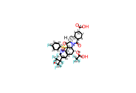 C[C@H]1C[C@H](C(=O)O)CC[C@H]1C(=O)N1CCC2(S(=O)(=O)c3ccc(F)cc3)c3ncc(C(F)(C(F)(F)F)C(F)(F)F)cc3CCC12.O=C(O)C(F)(F)F